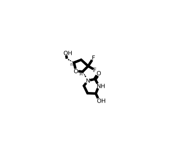 O=C1NC(O)CCN1[C@@H]1O[C@H](CO)CC1(F)F